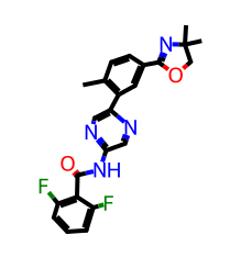 Cc1ccc(C2=NC(C)(C)CO2)cc1-c1cnc(NC(=O)c2c(F)cccc2F)cn1